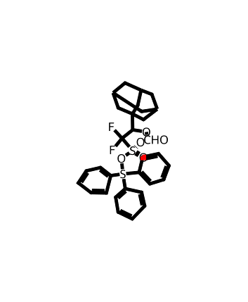 O=COC(C12CC3CC(CC(C3)C1)C2)C(F)(F)S(=O)(=O)OS(c1ccccc1)(c1ccccc1)c1ccccc1